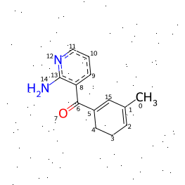 CC1=CCCC(C(=O)c2cccnc2N)=C1